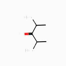 CCCCCCC(C)C(=O)C(C)CCCCCC